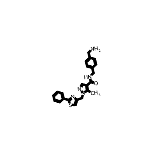 Cc1c(C(=O)NCc2ccc(CN)cc2)cnn1Cc1csc(-c2ccccc2)n1